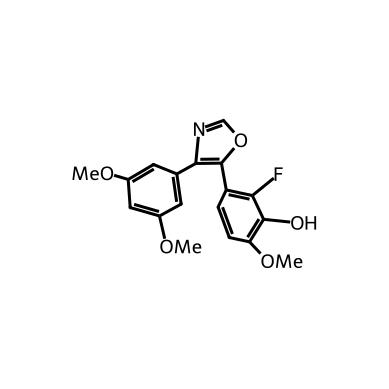 COc1cc(OC)cc(-c2ncoc2-c2ccc(OC)c(O)c2F)c1